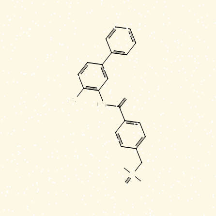 Nc1ccc(-c2ccccc2)cc1NC(=O)c1ccc(CP(=O)(O)O)cc1